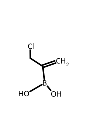 C=C(CCl)B(O)O